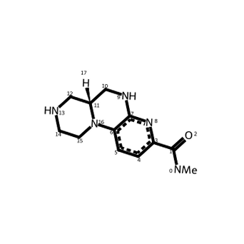 CNC(=O)c1ccc2c(n1)NC[C@H]1CNCCN21